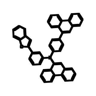 c1cc(-c2cc3ccccc3o2)cc(N(c2ccc(-c3cc4ccccc4c4ccccc34)cc2)c2cc3ccccc3c3ccccc23)c1